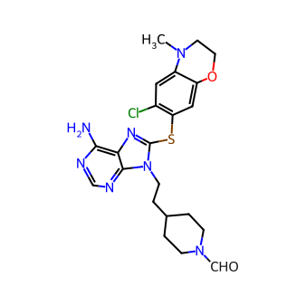 CN1CCOc2cc(Sc3nc4c(N)ncnc4n3CCC3CCN(C=O)CC3)c(Cl)cc21